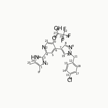 Cc1nc(-c2cc(-c3cnn(Cc4ccc(Cl)cc4)c3)ccn2)[nH]c1C.O=C(O)C(F)(F)F